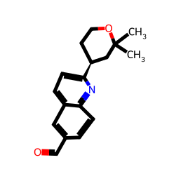 CC1(C)C[C@@H](c2ccc3cc(C=O)ccc3n2)CCO1